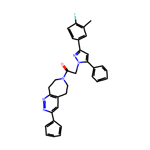 Cc1cc(-c2cc(-c3ccccc3)n(CC(=O)N3CCc4cc(-c5ccccc5)nnc4CC3)n2)ccc1F